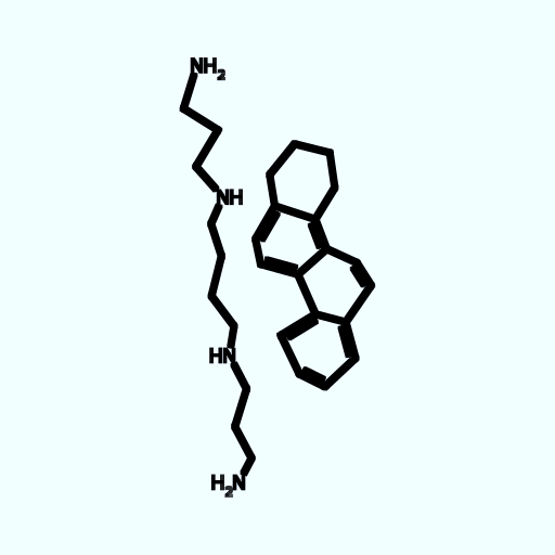 NCCCNCCCCNCCCN.c1ccc2c(c1)ccc1c3c(ccc12)CCCC3